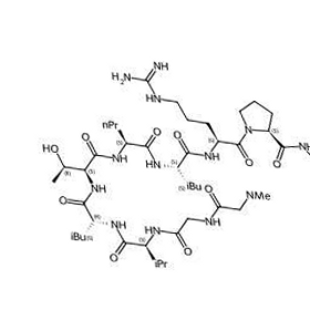 CCC[C@H](NC(=O)[C@@H](NC(=O)[C@H](NC(=O)[C@@H](NC(=O)CNC(=O)CNC)C(C)C)[C@@H](C)CC)[C@@H](C)O)C(=O)N[C@H](C(=O)N[C@@H](CCCNC(=N)N)C(=O)N1CCC[C@H]1C(=O)NCC)[C@@H](C)CC